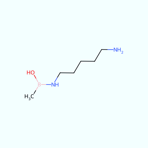 CB(O)NCCCCCN